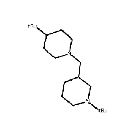 CC(C)(C)C1CCN(CC2CCCN(C(C)(C)C)C2)CC1